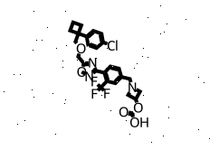 O=C(O)OC1CN(Cc2ccc(-c3noc(COCC4(c5ccc(Cl)cc5)CCC4)n3)c(C(F)(F)F)c2)C1